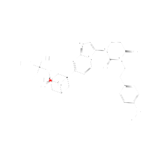 COc1ccc(CCN2C(=O)CCN(c3cnc4cc(C56CNCC(C5)N6C(=O)OC(C)(C)C)ccn34)C2=O)cc1